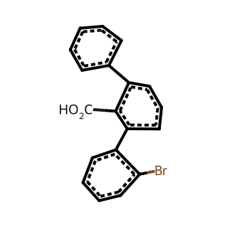 O=C(O)c1c(-c2ccccc2)cccc1-c1ccccc1Br